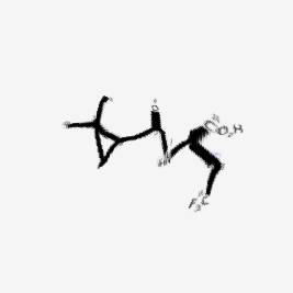 CC1(C)CC1C(=O)N/C(=C\C(F)(F)F)C(=O)O